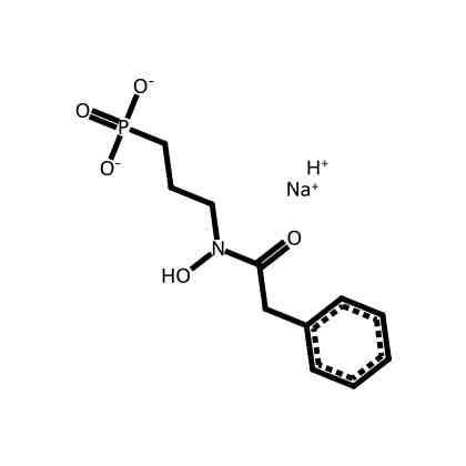 O=C(Cc1ccccc1)N(O)CCCP(=O)([O-])[O-].[H+].[Na+]